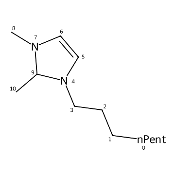 CCCCCCCCN1C=CN(C)C1C